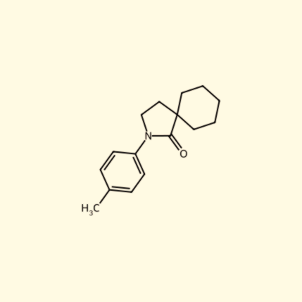 Cc1ccc(N2CCC3(CCCCC3)C2=O)cc1